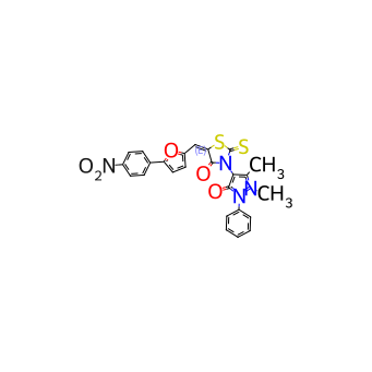 Cc1c(N2C(=O)/C(=C\c3ccc(-c4ccc([N+](=O)[O-])cc4)o3)SC2=S)c(=O)n(-c2ccccc2)n1C